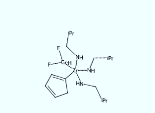 CC(C)C[NH][Zr]([NH]CC(C)C)([NH]CC(C)C)([C]1=CC=CC1)[GeH]([F])[F]